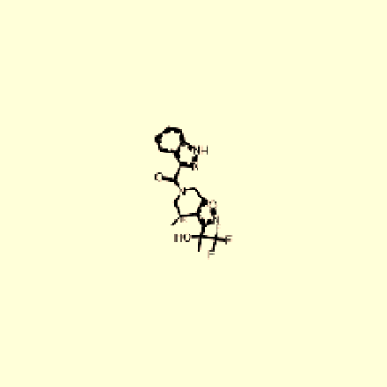 C[C@H]1CN(C(=O)c2n[nH]c3ccccc23)Cc2onc(C(C)(O)C(F)(F)F)c21